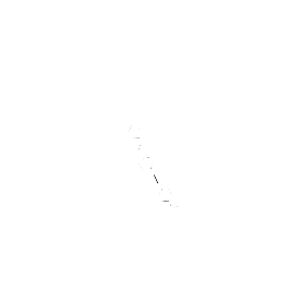 CCCCCc1ccc(C(F)=C(F)c2ccc(C#Cc3cc(F)c(N=C=S)c(F)c3)cc2)cc1